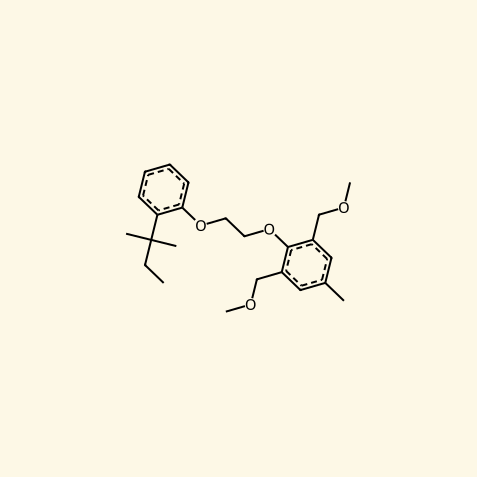 CCC(C)(C)c1ccccc1OCCOc1c(COC)cc(C)cc1COC